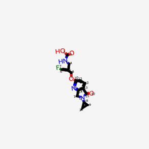 O=C(O)NCC(=CF)COc1ccc2c(n1)CN(C1CC1)C2=O